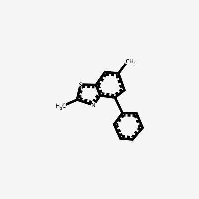 Cc1cc(-c2ccccc2)c2nc(C)sc2c1